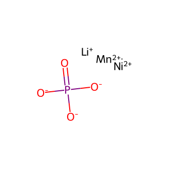 O=P([O-])([O-])[O-].[Li+].[Mn+2].[Ni+2]